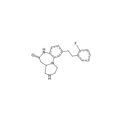 O=C1CC2CNCCN2c2cc(CCc3ccccc3F)ccc2N1